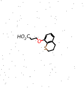 O=C(O)CCOc1cccc2c1SCCC2